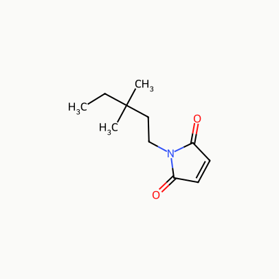 CCC(C)(C)CCN1C(=O)C=CC1=O